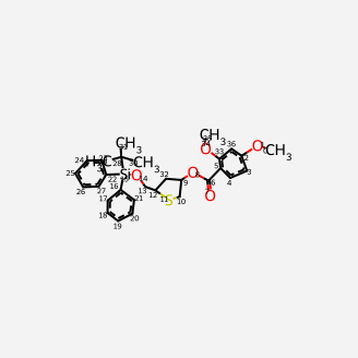 COc1ccc(C(=O)OC2CSC(CO[Si](c3ccccc3)(c3ccccc3)C(C)(C)C)C2)c(OC)c1